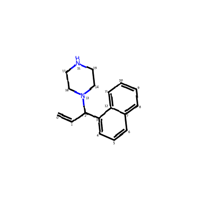 C=CC(c1cccc2ccccc12)N1CCNCC1